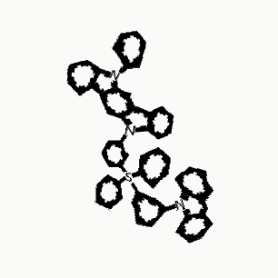 c1ccc(-n2c3ccccc3c3cc4c(cc32)c2ccccc2n4-c2cccc(S(c3ccccc3)(c3ccccc3)c3cccc(-n4c5ccccc5c5ccccc54)c3)c2)cc1